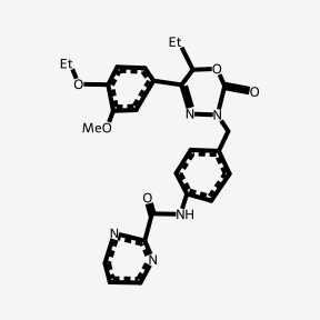 CCOc1ccc(C2=NN(Cc3ccc(NC(=O)c4ncccn4)cc3)C(=O)OC2CC)cc1OC